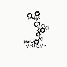 COc1cc(C(=O)N2CCC(CCN3CCCN(c4nc5ccccc5n4Cc4ccccn4)CC3)(c3ccc(Cl)c(Cl)c3)C2)cc(OC)c1OC